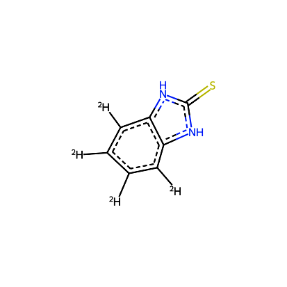 [2H]c1c([2H])c([2H])c2[nH]c(=S)[nH]c2c1[2H]